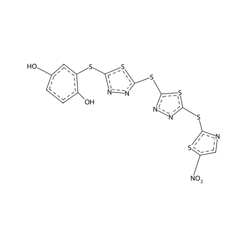 O=[N+]([O-])c1cnc(Sc2nnc(Sc3nnc(Sc4cc(O)ccc4O)s3)s2)s1